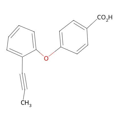 CC#Cc1ccccc1Oc1ccc(C(=O)O)cc1